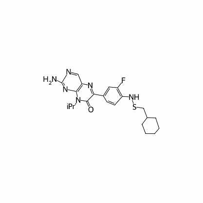 CC(C)n1c(=O)c(-c2ccc(NSCC3CCCCC3)c(F)c2)nc2cnc(N)nc21